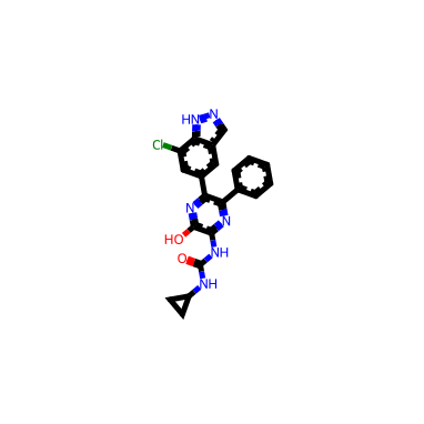 O=C(Nc1nc(-c2ccccc2)c(-c2cc(Cl)c3[nH]ncc3c2)nc1O)NC1CC1